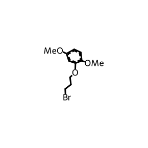 COc1ccc(OC)c(OCCCBr)c1